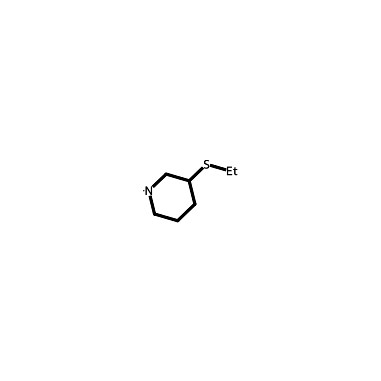 CCSC1CCC[N]C1